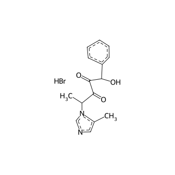 Br.Cc1cncn1C(C)C(=O)C(=O)C(O)c1ccccc1